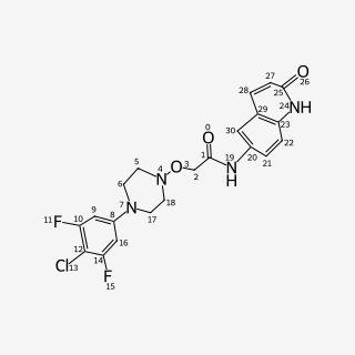 O=C(CON1CCN(c2cc(F)c(Cl)c(F)c2)CC1)Nc1ccc2[nH]c(=O)ccc2c1